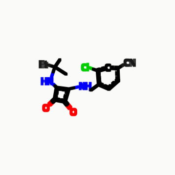 CCC(C)(C)Nc1c(NCc2ccc(C#N)cc2Cl)c(=O)c1=O